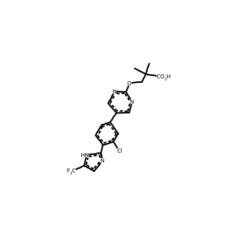 CC(C)(COc1ncc(-c2ccc(-c3ncc(C(F)(F)F)[nH]3)c(Cl)c2)cn1)C(=O)O